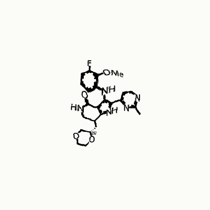 COc1c(F)cccc1Nc1c(-c2ccnc(C)n2)[nH]c2c1C(=O)NCC2C[C@H]1COCCO1